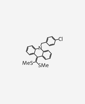 CSC(SC)=C1c2ccccc2N(Cc2ccc(Cl)cc2)c2ccccc21